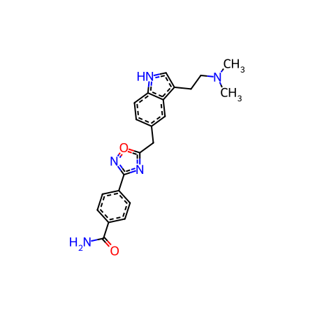 CN(C)CCc1c[nH]c2ccc(Cc3nc(-c4ccc(C(N)=O)cc4)no3)cc12